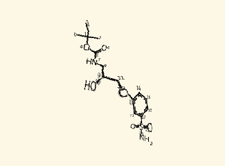 CC(C)(C)OC(=O)NC[C@H](O)COc1cccc(S(N)(=O)=O)c1